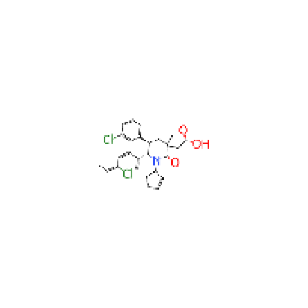 C=C(/C=C\C(Cl)=C/C)[C@@H]1[C@@H](c2cccc(Cl)c2)CC(C)(CC(=O)O)C(=O)N1C1C=CCC1